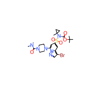 CN(C)C(=O)N1CCN(c2cc(S(=O)(=O)N(C(=O)OC(C)(C)C)C3(C)CC3)cc3c(Br)cnn23)CC1